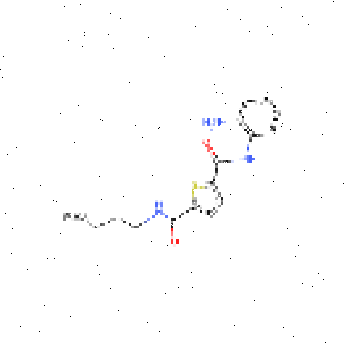 COCCCNC(=O)c1ccc(C(=O)Nc2ccccc2N)s1